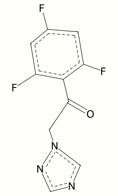 O=C(Cn1cncn1)c1c(F)cc(F)cc1F